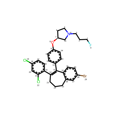 FCCCN1CC[C@H](Oc2ccc(C3=C(c4ccc(Cl)cc4Cl)CCCc4cc(Br)ccc43)cc2)C1